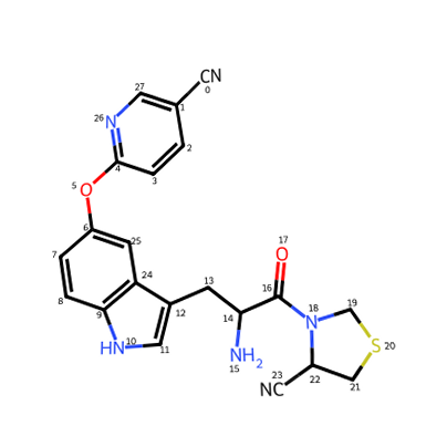 N#Cc1ccc(Oc2ccc3[nH]cc(CC(N)C(=O)N4CSCC4C#N)c3c2)nc1